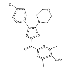 COc1c(C)cc(C(=O)c2cc(-c3ccc(Cl)cc3)c(N3CCOCC3)s2)nc1C